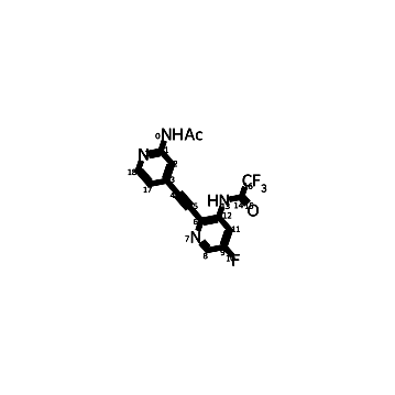 CC(=O)Nc1cc(C#Cc2ncc(F)cc2NC(=O)C(F)(F)F)ccn1